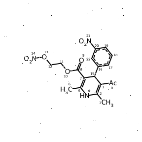 CC(=O)C1=C(C)NC(C)=C(C(=O)OCCO[N+](=O)[O-])C1c1cccc([N+](=O)[O-])c1